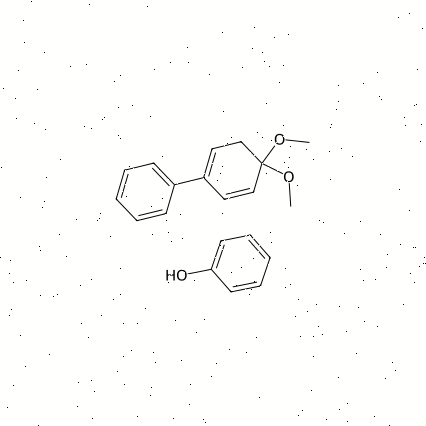 COC1(OC)C=CC(c2ccccc2)=CC1.Oc1ccccc1